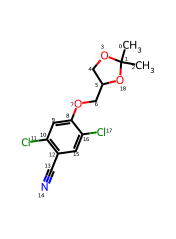 CC1(C)OCC(COc2cc(Cl)c(C#N)cc2Cl)O1